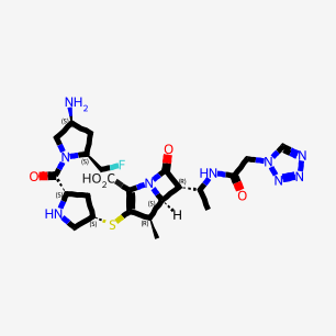 CC(NC(=O)Cn1cnnn1)[C@H]1C(=O)N2C(C(=O)O)=C(S[C@@H]3CN[C@H](C(=O)N4C[C@@H](N)C[C@H]4CF)C3)[C@H](C)[C@H]12